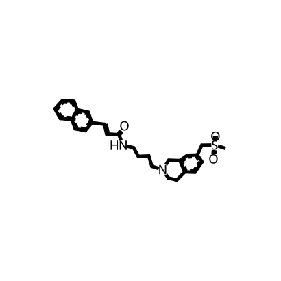 CS(=O)(=O)Cc1ccc2c(c1)CN(CCCCNC(=O)C=Cc1ccc3ccccc3c1)CC2